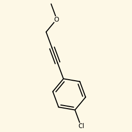 COCC#Cc1ccc(Cl)cc1